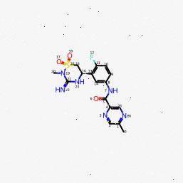 Cc1cnc(C(=O)Nc2ccc(F)c([C@@H]3CS(=O)(=O)N(C)C(=N)N3)c2)cn1